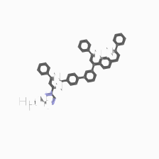 C=N/C=C(\C=C/C)c1cc(-c2ccccc2)nc(-c2ccc(-c3cccc(-c4cc(-c5ccccc5)nc5c4ccc4ccc(-c6ccccc6)nc45)c3)cc2)n1